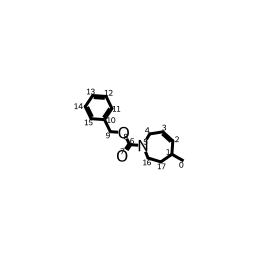 CC1C=CCN(C(=O)OCc2ccccc2)CC1